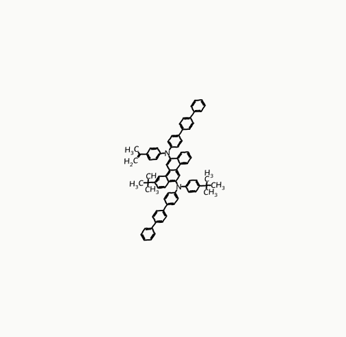 C=C(C)c1ccc(N(c2ccc(-c3ccc(-c4ccccc4)cc3)cc2)c2cc3c4cc(C(C)(C)C)ccc4c(N(c4ccc(-c5ccc(-c6ccccc6)cc5)cc4)c4ccc(C(C)(C)C)cc4)cc3c3ccccc23)cc1